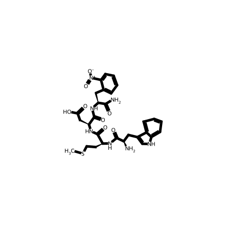 CSCC[C@H](NC(=O)[C@H](N)Cc1c[nH]c2ccccc12)C(=O)N[C@@H](CC(=O)O)C(=O)N[C@@H](Cc1ccccc1[N+](=O)[O-])C(N)=O